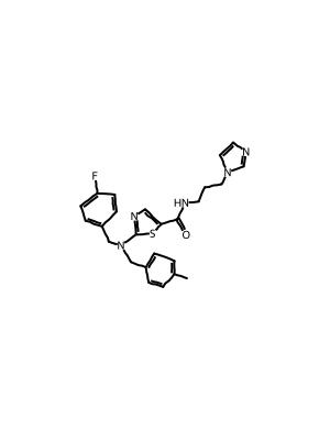 Cc1ccc(CN(Cc2ccc(F)cc2)c2ncc(C(=O)NCCCn3ccnc3)s2)cc1